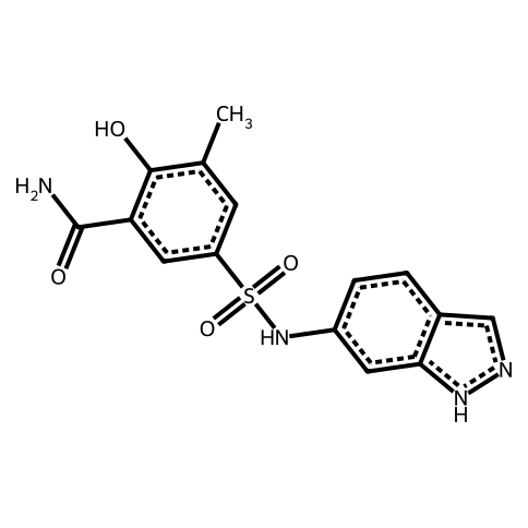 Cc1cc(S(=O)(=O)Nc2ccc3cn[nH]c3c2)cc(C(N)=O)c1O